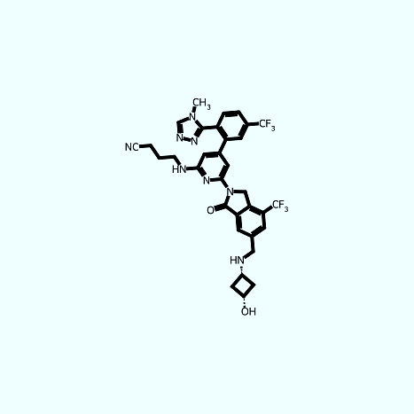 Cn1cnnc1-c1ccc(C(F)(F)F)cc1-c1cc(NCCCC#N)nc(N2Cc3c(cc(CN[C@H]4C[C@@H](O)C4)cc3C(F)(F)F)C2=O)c1